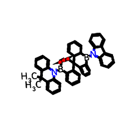 CC1(C)c2ccccc2N(B2c3ccccc3C3(c4ccccc4B(n4c5ccccc5c5ccccc54)C4C=CC=CC43)C3C=CC=CC23)c2ccccc21